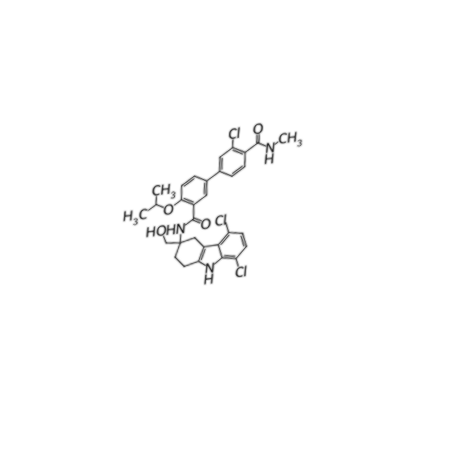 CNC(=O)c1ccc(-c2ccc(OC(C)C)c(C(=O)NC3(CO)CCc4[nH]c5c(Cl)ccc(Cl)c5c4C3)c2)cc1Cl